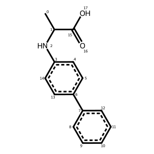 CC(Nc1ccc(-c2ccccc2)cc1)C(=O)O